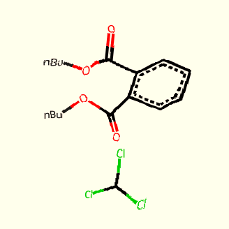 CCCCOC(=O)c1ccccc1C(=O)OCCCC.ClC(Cl)Cl